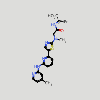 Cc1ccnc(Nc2cccc(-c3cnc(N(C)CC(=O)N[C@H](C(=O)O)C(C)C)s3)n2)c1